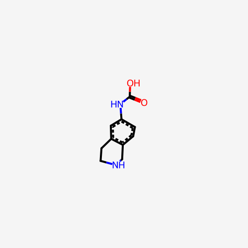 O=C(O)Nc1ccc2c(c1)CCNC2